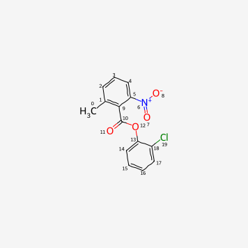 Cc1cccc([N+](=O)[O-])c1C(=O)Oc1ccccc1Cl